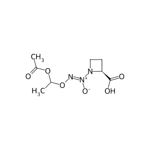 CC(=O)OC(C)O/N=[N+](\[O-])N1CC[C@H]1C(=O)O